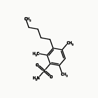 CCCCCc1c(C)cc(C)c(S(N)(=O)=O)c1C